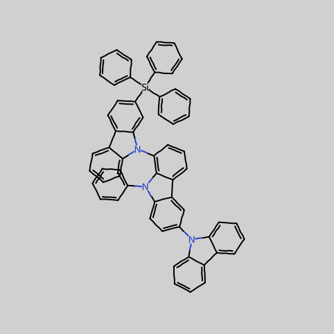 c1ccc(-n2c3ccc(-n4c5ccccc5c5ccccc54)cc3c3cccc(-n4c5ccccc5c5ccc([Si](c6ccccc6)(c6ccccc6)c6ccccc6)cc54)c32)cc1